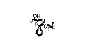 O=C(O)c1cnc(OCC(F)(F)F)c(N2CCCCC2)n1